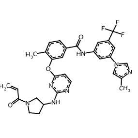 C=CC(=O)N1CCC(Nc2nccc(Oc3cc(C(=O)Nc4cc(-n5cnc(C)c5)cc(C(F)(F)F)c4)ccc3C)n2)C1